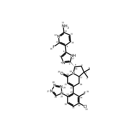 CC1(C)C[C@@H](c2ncc(-c3ccc(N)nc3F)[nH]2)N2C(=O)C=C(c3c(-n4cnnn4)ccc(Cl)c3F)CC21